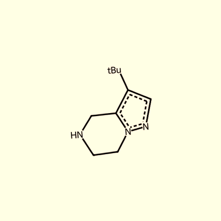 CC(C)(C)c1cnn2c1CNCC2